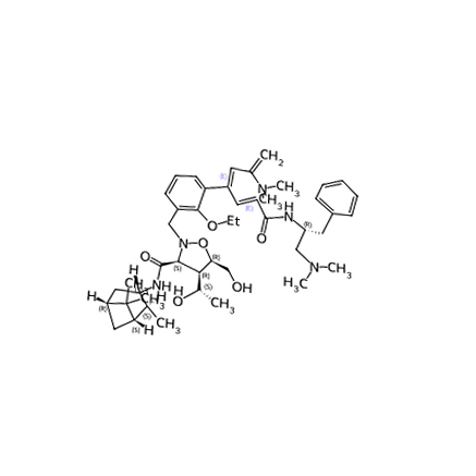 C=C(/C=C(\C=C\C(=O)N[C@H](Cc1ccccc1)CN(C)C)c1cccc(CN2O[C@@H](CO)[C@@H]([C@H](C)O)[C@H]2C(=O)N[C@H]2C[C@H]3C[C@@H]([C@@H]2C)C3(C)C)c1OCC)N(C)C